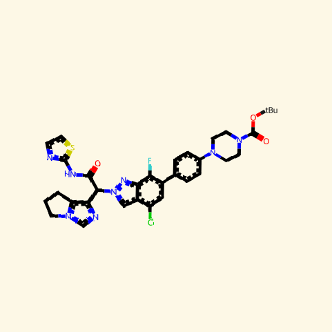 CC(C)(C)OC(=O)N1CCN(c2ccc(-c3cc(Cl)c4cn(C(C(=O)Nc5nccs5)c5ncn6c5CCC6)nc4c3F)cc2)CC1